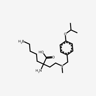 BCCCCC(N)(CCN(C)Cc1ccc(OC(C)C)cc1)C(=O)O